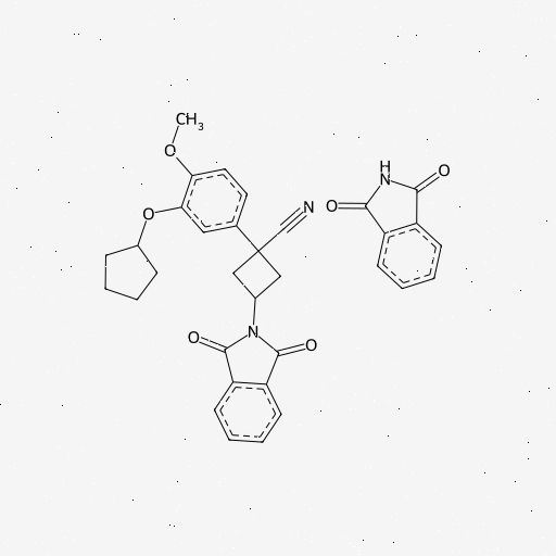 COc1ccc(C2(C#N)CC(N3C(=O)c4ccccc4C3=O)C2)cc1OC1CCCC1.O=C1NC(=O)c2ccccc21